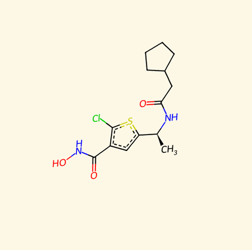 C[C@H](NC(=O)CC1CCCC1)c1cc(C(=O)NO)c(Cl)s1